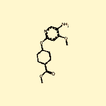 COC(=O)C1CCC(Oc2cc(OC)c(N)cn2)CC1